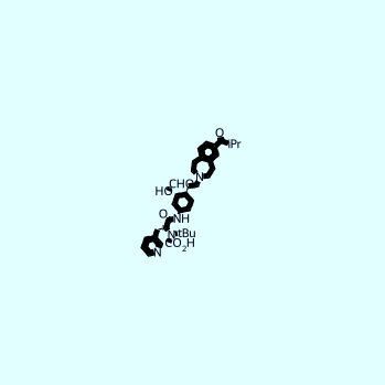 CC(C)C(=O)c1ccc2c(c1)CCN(CC[C@H]1CC[C@H](NC(=O)[C@@H](Cc3cccnc3)N(C(=O)O)C(C)(C)C)CC1)CC2.O=CO